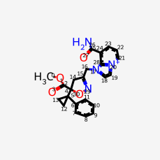 COC(=O)C1(C2(c3ccccc3)CC2)CC(Cn2cc[n+]3cccc(C(N)=O)c23)=NO1